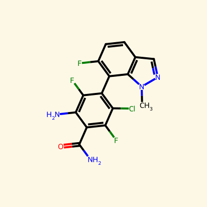 Cn1ncc2ccc(F)c(-c3c(F)c(N)c(C(N)=O)c(F)c3Cl)c21